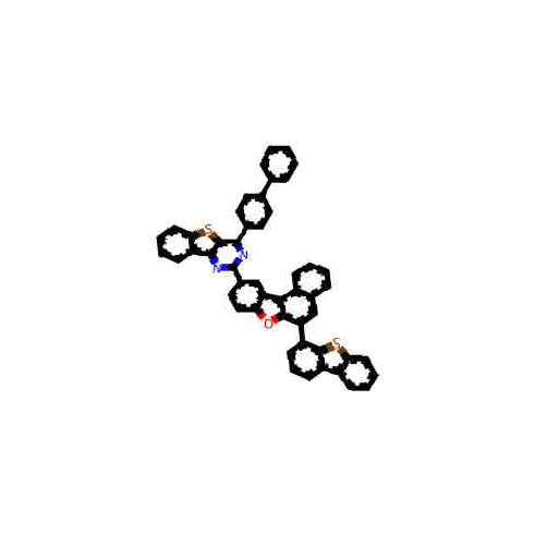 c1ccc(-c2ccc(-c3nc(-c4ccc5oc6c(-c7cccc8c7sc7ccccc78)cc7ccccc7c6c5c4)nc4c3sc3ccccc34)cc2)cc1